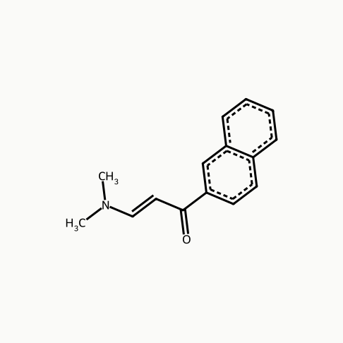 CN(C)C=CC(=O)c1ccc2ccccc2c1